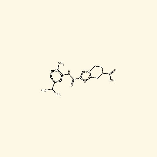 CC(C)c1ccc(N)c(NC(=O)c2cc3c(s2)CN(C(=O)O)CC3)c1